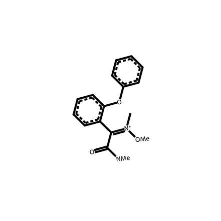 CNC(=O)C(c1ccccc1Oc1ccccc1)=[N+](C)OC